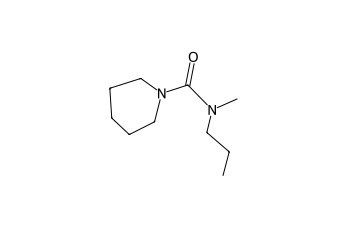 CCCN(C)C(=O)N1CCCCC1